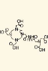 O=C(O)CN1CCN(CC(=O)O)CCN(CC(=O)NNC(=O)CN(CC(=O)O)CC(=O)O)CCN(CC(=O)O)CC1